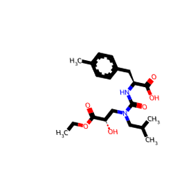 CCOC(=O)[C@@H](O)CN(CC(C)C)C(=O)N[C@@H](Cc1ccc(C)cc1)C(=O)O